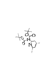 Cc1cc(C)nc(N(C(=O)OC(C)(C)C)C(=O)OC(C)(C)C)c1